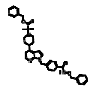 CC(C)(C(=O)OCc1ccccc1)N1CCC(c2ccnc3c2ccn3Cc2ccc(C(=O)NOCc3ccccc3)cc2)CC1